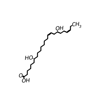 CC/C=C\CC[C@@H](O)C/C=C\CCCCCCC[C@@H](O)CCCCCC(=O)O